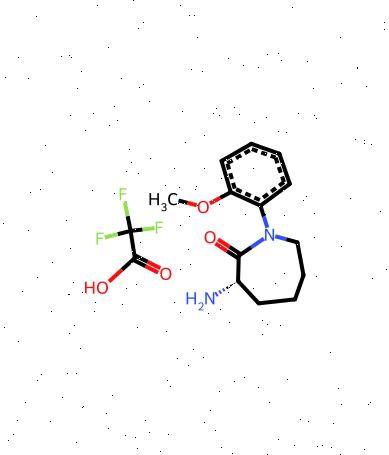 COc1ccccc1N1CCCC[C@H](N)C1=O.O=C(O)C(F)(F)F